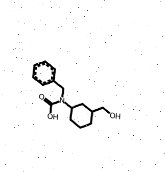 O=C(O)N(Cc1ccccc1)C1CCCC(CO)C1